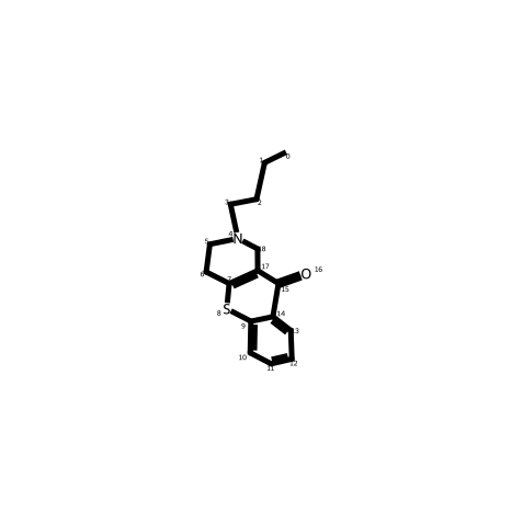 CCCCN1CCc2sc3ccccc3c(=O)c2C1